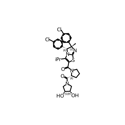 CC(C)C1=C(C(=O)N2CCC[C@@H]2C(=O)N2C[C@@H](O)[C@@H](O)C2)SC2=N[C@@](C)(c3ccc(Cl)cc3)[C@@H](c3ccc(Cl)cc3)N21